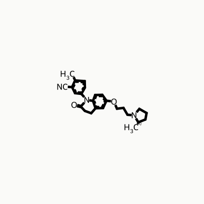 Cc1ccc(N2C(=O)CCc3cc(OCCCN4CCC[C@H]4C)ccc32)cc1C#N